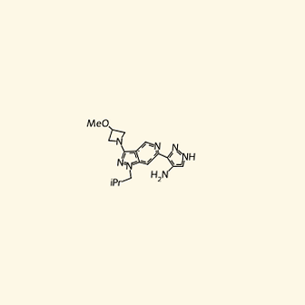 COC1CN(c2nn(CC(C)C)c3cc(-c4n[nH]cc4N)ncc23)C1